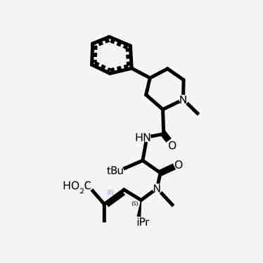 C/C(=C\[C@H](C(C)C)N(C)C(=O)C(NC(=O)C1CC(c2ccccc2)CCN1C)C(C)(C)C)C(=O)O